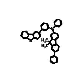 CC1(C)c2cc(-c3ccccc3)ccc2-c2ccc(N(c3ccccc3)c3cccc(-c4ccc5sc6ccccc6c5c4)c3)cc21